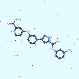 CNC(=O)c1cc(Oc2cccc(-c3c[nH]c(C(=O)Nc4cccc(C(F)(F)F)c4)c3)c2)ccn1